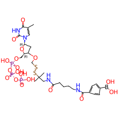 Cc1cn([C@H]2CC(OCSSC(C)(C)CNC(=O)CCCCNC(=O)c3ccc(B(O)O)cc3)[C@@H](COP(=O)(O)OP(=O)(O)OP(=O)(O)O)O2)c(=O)[nH]c1=O